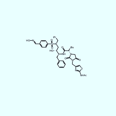 CC[C@H](C)[C@@H](C(=O)N[C@@H](Cc1ccccc1)[C@H](O)CN(CC(C)C)S(=O)(=O)c1ccc(C=NO)cc1)N1CC(=O)N(Cc2csc(NC(C)=O)n2)C1=O